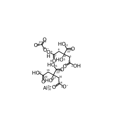 O=C(O)CC(O)(CC(=O)O)C(=O)O.O=C([O-])CC(O)(CC(=O)O)C(=O)O.O=C([O-])[O-].[Al+3]